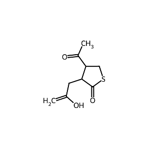 C=C(O)CC1C(=O)SCC1C(C)=O